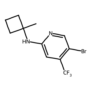 CC1(Nc2cc(C(F)(F)F)c(Br)cn2)CCC1